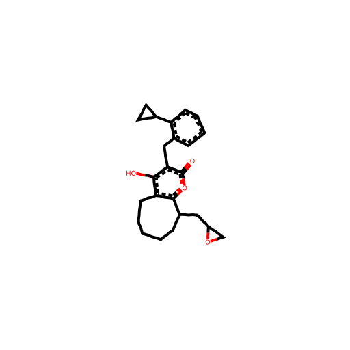 O=c1oc2c(c(O)c1Cc1ccccc1C1CC1)CCCCCC2CC1CO1